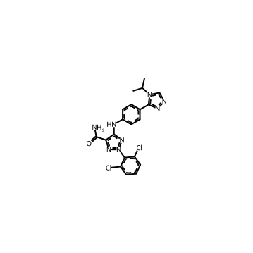 CC(C)n1cnnc1-c1ccc(Nc2nn(-c3c(Cl)cccc3Cl)nc2C(N)=O)cc1